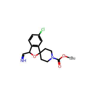 CC(C)(C)OC(=O)N1CCC2(CC1)OC(C=N)c1ccc(Cl)cc12